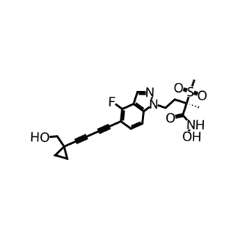 C[C@@](CCn1ncc2c(F)c(C#CC#CC3(CO)CC3)ccc21)(C(=O)NO)S(C)(=O)=O